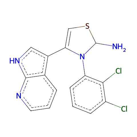 NC1SC=C(c2c[nH]c3ncccc23)N1c1cccc(Cl)c1Cl